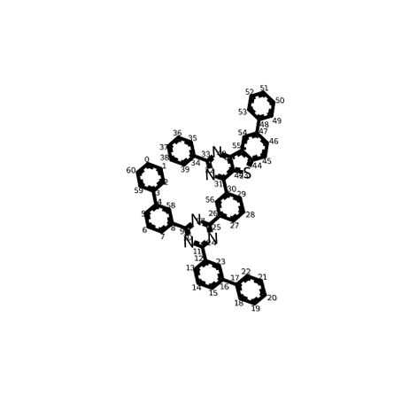 c1ccc(-c2cccc(-c3nc(-c4cccc(-c5ccccc5)c4)nc(-c4cccc(-c5nc(-c6ccccc6)nc6c5sc5ccc(-c7ccccc7)cc56)c4)n3)c2)cc1